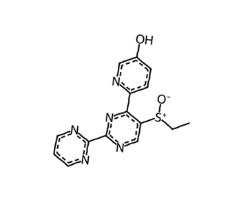 CC[S+]([O-])c1cnc(-c2ncccn2)nc1-c1ccc(O)cn1